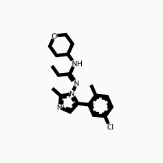 CC/C(=N\n1c(-c2cc(Cl)ccc2C)cnc1C)NC1CCOCC1